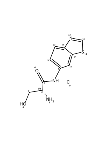 Cl.N[C@H](CO)C(=O)Nc1ccc2ncsc2c1